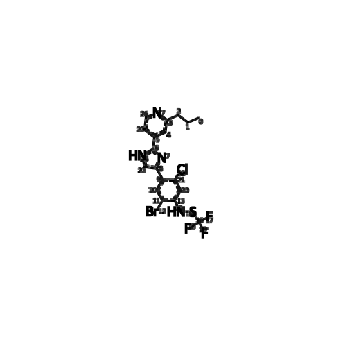 CCCc1cc(-c2nc(-c3cc(Br)c(NSC(F)(F)F)cc3Cl)c[nH]2)ccn1